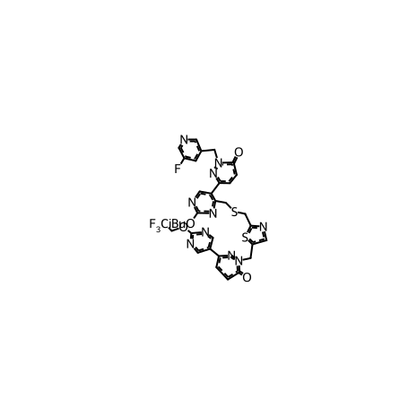 CC(C)COc1ncc(-c2ccc(=O)n(Cc3cncc(F)c3)n2)c(CSCc2ncc(Cn3nc(-c4cnc(OCC(F)(F)F)nc4)ccc3=O)s2)n1